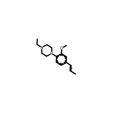 [CH2]CN1CCN(c2ccc(/C=C/C)cc2OC)CC1